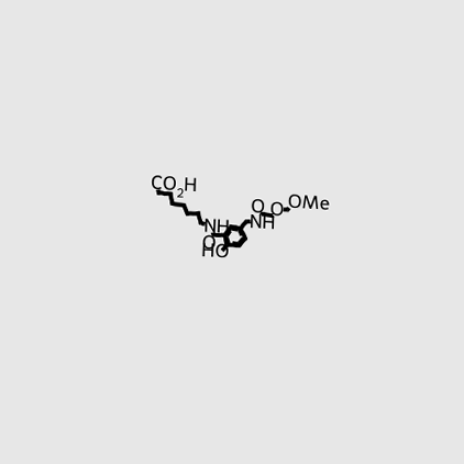 COCOCC(=O)NCc1ccc(O)c(C(=O)NCCCCCCCC(=O)O)c1